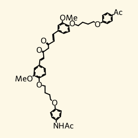 COc1cc(/C=C/C(=O)CC(=O)/C=C/c2ccc(OCCCCOc3ccc(C(C)=O)cc3)c(OC)c2)ccc1OCCCCOc1ccc(NC(C)=O)cc1